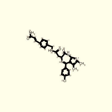 Cc1sc2c(c1C)C(c1ccc(Cl)cc1)=NC(CC(=O)NCc1ccc(/C=C/C(N)=O)cc1)C(=O)N2